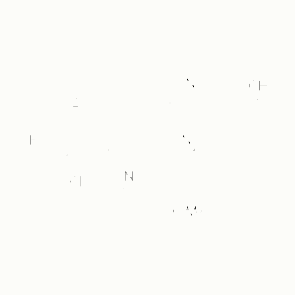 COc1nc(C(F)(F)Cl)cc2nc(C)cn12